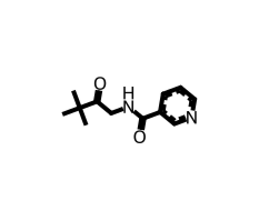 CC(C)(C)C(=O)CNC(=O)c1cccnc1